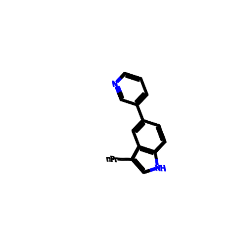 CCCc1c[nH]c2ccc(-c3cccnc3)cc12